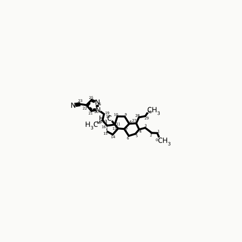 CCCCC1CCC2C(CCC3(C)C2CC[C@@H]3[C@H](C)Cn2cc(C#N)cn2)C1CCC